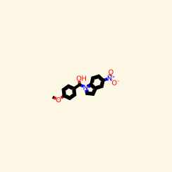 COc1ccc(C(O)n2ccc3cc([N+](=O)[O-])ccc32)cc1